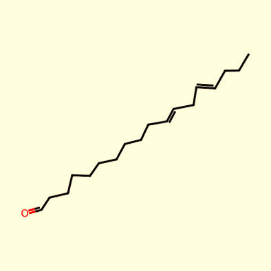 CCCC=CCC=CCCCCCCCCCC=O